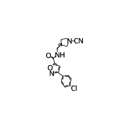 N#CN1CC[C@H](CNC(=O)c2cc(-c3ccc(Cl)cc3)no2)C1